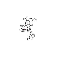 C#Cc1c(F)ccc2cc(O)cc(-c3nc(OC)c4c(N5CC6CCC(C5)N6C=O)nc(OC[C@@]56CCCN5C[C@H](F)C6)nc4c3F)c12